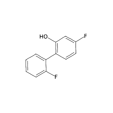 Oc1cc(F)ccc1-c1ccccc1F